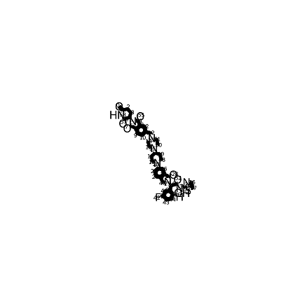 O=C1CCC(N2C(=O)c3ccc(CN4CCN(C5CCN(c6ccc7c(c6)C(=O)N(C(C(=O)Nc6nccs6)c6cc(F)ccc6O)C7)CC5)CC4)cc3C2=O)C(=O)N1